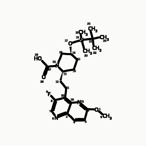 COc1ccc2ncc(F)c(CC[C@H]3CC[C@@H](O[Si](C)(C)C(C)(C)C)CN3C(=O)O)c2n1